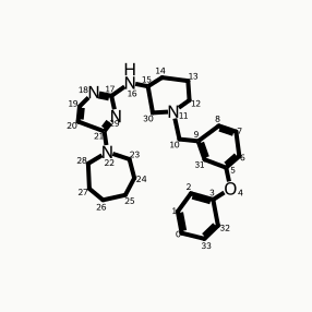 c1ccc(Oc2cccc(CN3CCCC(Nc4nccc(N5CCCCCC5)n4)C3)c2)cc1